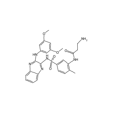 COc1cc(Nc2nc3ccccc3nc2NS(=O)(=O)c2ccc(C)c(NC(=O)CCN)c2)cc(OC)c1